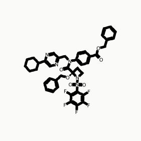 O=C(OCc1ccccc1)c1ccc(N(Cc2cnc(C3CCCCC3)cn2)C(=O)[C@]2(OCc3ccccc3)CCN2S(=O)(=O)c2c(F)c(F)c(F)c(F)c2F)cc1